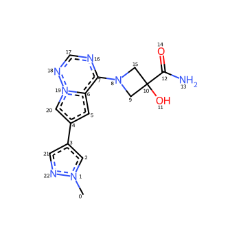 Cn1cc(-c2cc3c(N4CC(O)(C(N)=O)C4)ncnn3c2)cn1